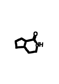 O=C1NCCC2CCCC12